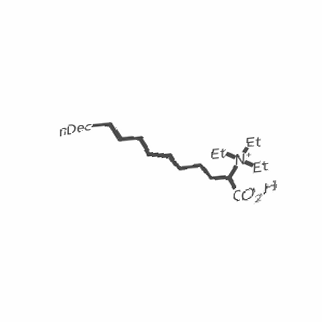 CCCCCCCCCCCCCCCCCCC(C(=O)O)[N+](CC)(CC)CC